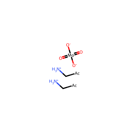 CC(=O)C[NH3+].CC(=O)C[NH3+].[O]=[Mo](=[O])([O-])[O-]